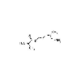 C=C(C)C(=O)OCCCC(C)O[SiH3]